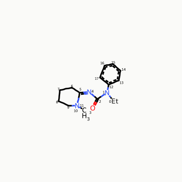 CCN(C(=O)/N=C1/CCCCN1C)c1ccccc1